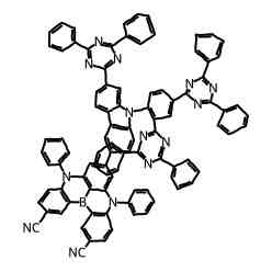 N#Cc1ccc2c(c1)B1c3cc(C#N)ccc3N(c3ccccc3)c3cc(-c4ccc5c(c4)c4ccc(-c6nc(-c7ccccc7)nc(-c7ccccc7)n6)cc4n5-c4ccc(-c5nc(-c6ccccc6)nc(-c6ccccc6)n5)cc4-c4nc(-c5ccccc5)nc(-c5ccccc5)n4)cc(c31)N2c1ccccc1